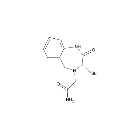 CCC(C)C1C(=O)Nc2ccccc2CN1CC(N)=O